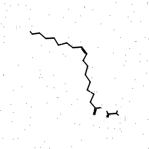 CCCCCCCC/C=C\CCCCCCCC(=O)OC(=O)C(C)O